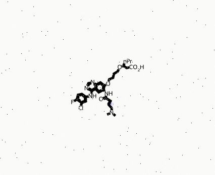 CCCC(CC(=O)O)OCCCCOc1cc2ncnc(Nc3ccc(F)c(Cl)c3)c2cc1NC(=O)/C=C/CN(C)C